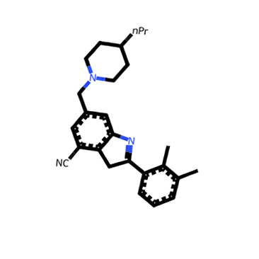 CCCC1CCN(Cc2cc(C#N)c3c(c2)N=C(c2cccc(C)c2C)C3)CC1